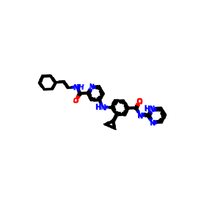 O=C(N=c1nccc[nH]1)c1ccc(Nc2ccnc(C(=O)NCCC3CCCCC3)c2)c(C2CC2)c1